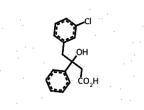 O=C(O)CC(O)(Cc1cccc(Cl)c1)c1ccccc1